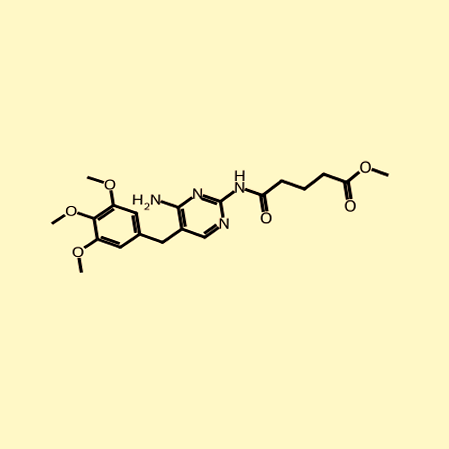 COC(=O)CCCC(=O)Nc1ncc(Cc2cc(OC)c(OC)c(OC)c2)c(N)n1